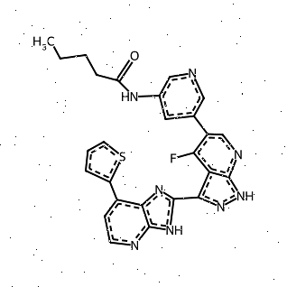 CCCCC(=O)Nc1cncc(-c2cnc3[nH]nc(-c4nc5c(-c6cccs6)ccnc5[nH]4)c3c2F)c1